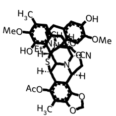 CCN1CCc2cc(O)c(OC)cc2[C@@]12CS[C@@H]1c3c(OC(C)=O)c(C)c4c(c3[C@H](COC2=O)N2C1[C@@H]1c3c(cc(C)c(OC)c3O)C[C@@H]([C@@H]2C#N)N1C)OCO4